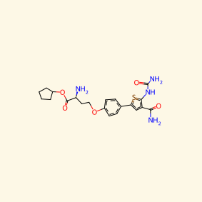 NC(=O)Nc1sc(-c2ccc(OCC[C@H](N)C(=O)OC3CCCC3)cc2)cc1C(N)=O